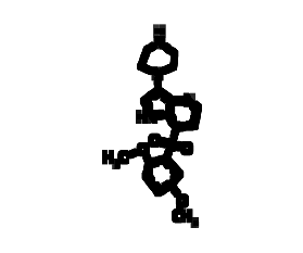 COc1ccc(OC)c(S(=O)(=O)c2ccnc3c(N4CCNCC4)c[nH]c23)c1